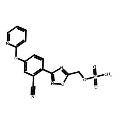 CS(=O)(=O)OCc1nc(-c2ccc(Oc3ccccn3)cc2C#N)no1